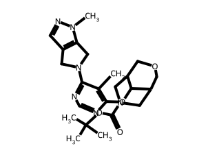 Cc1c(OC2C3COCC2CN(C(=O)OC(C)(C)C)C3)ncnc1N1Cc2cnn(C)c2C1